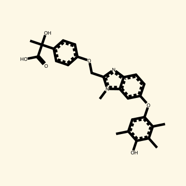 Cc1cc(Oc2ccc3nc(COc4ccc(C(C)(O)C(=O)O)cc4)n(C)c3c2)c(C)c(C)c1O